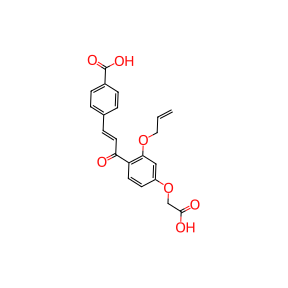 C=CCOc1cc(OCC(=O)O)ccc1C(=O)/C=C/c1ccc(C(=O)O)cc1